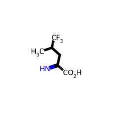 CC(CC(=N)C(=O)O)C(F)(F)F